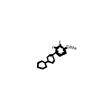 COc1ccc(C2=CCC(C3CCCCC3)CC2)c(F)c1F